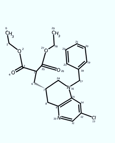 CCOC(=O)C(C[C@H]1Cc2ncc(Cl)cc2N(Cc2ccccc2)C1)C(=O)OCC